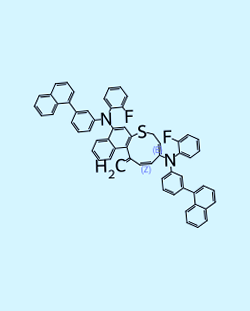 C=C1/C=C\C(N(c2cccc(-c3cccc4ccccc34)c2)c2ccccc2F)=C/CSc2cc(N(c3cccc(-c4cccc5ccccc45)c3)c3ccccc3F)c3ccccc3c21